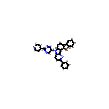 c1ccc(-c2ccc3c(n2)c2c4sc5ccccc5c4ccc2n3-c2cnc(-c3ccncc3)nc2)cc1